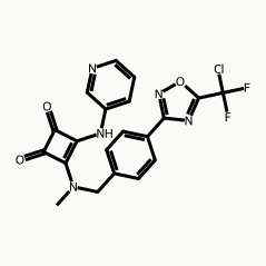 CN(Cc1ccc(-c2noc(C(F)(F)Cl)n2)cc1)c1c(Nc2cccnc2)c(=O)c1=O